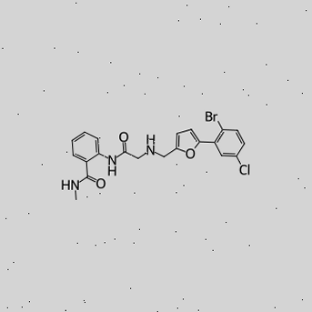 CNC(=O)c1ccccc1NC(=O)CNCc1ccc(-c2cc(Cl)ccc2Br)o1